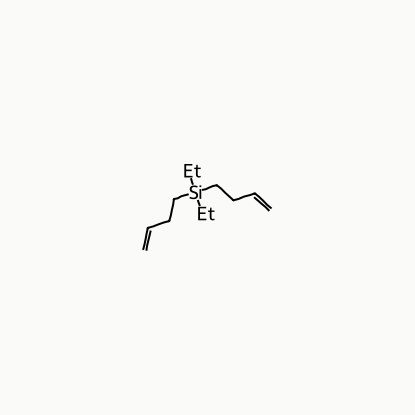 C=CCC[Si](CC)(CC)CCC=C